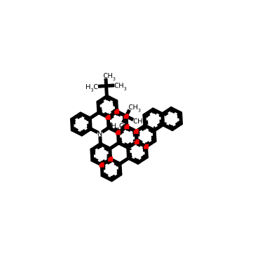 CC(C)(C)c1cc(-c2ccccc2N(c2cccc(-c3cccc4c3ccc3ccccc34)c2)c2ccccc2-c2cccc3cccc(-c4ccccc4)c23)cc(C(C)(C)C)c1